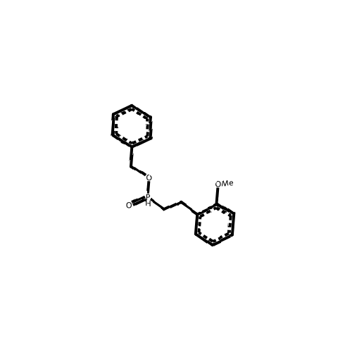 COc1ccccc1CC[PH](=O)OCc1ccccc1